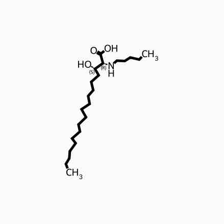 CCCCCCCCCCCCCCC[C@H](O)[C@@H](NCCCCC)C(=O)O